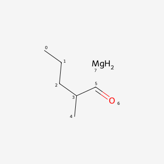 CCCC(C)C=O.[MgH2]